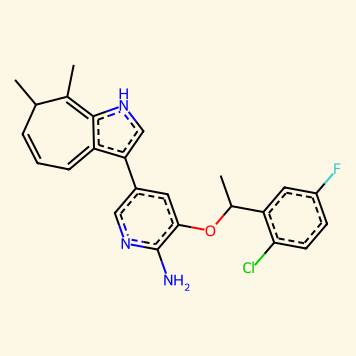 CC1=c2[nH]cc(-c3cnc(N)c(OC(C)c4cc(F)ccc4Cl)c3)c2=CC=CC1C